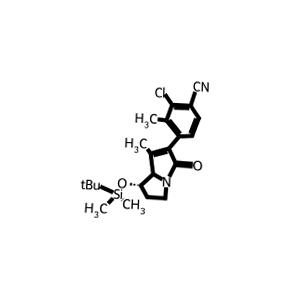 CC1=C(c2ccc(C#N)c(Cl)c2C)C(=O)N2CC[C@H](O[Si](C)(C)C(C)(C)C)C12